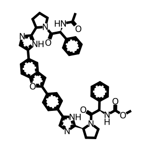 COC(=O)N[C@@H](C(=O)N1CCC[C@H]1c1ncc(-c2ccc(-c3cc4cc(-c5cnc(C6CCCN6C(=O)[C@H](NC(C)=O)c6ccccc6)[nH]5)ccc4o3)cc2)[nH]1)c1ccccc1